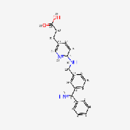 N=C(c1ccccc1)c1cccc(CNc2ccc(CCC(=O)O)cn2)c1